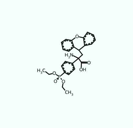 CCOP(=O)(OCC)c1ccc(C(N)(CC2c3ccccc3Oc3ccccc32)C(=O)O)cc1